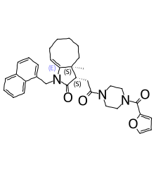 C[C@@]12CCCCC/C=C\1N(Cc1cccc3ccccc13)C(=O)[C@H]2CC(=O)N1CCN(C(=O)c2ccco2)CC1